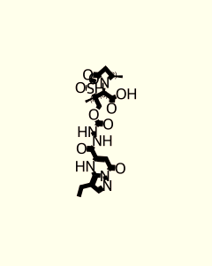 CCc1cnn2c(=O)cc(C(=O)NNC(=O)OC[C@@](C)([C@H](C(=O)O)N3C(=O)C[C@H]3C)[SH](=O)=O)[nH]c12